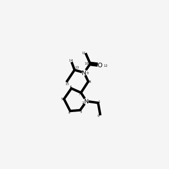 CCN1CCCCC1CN(C(C)=O)C(C)C